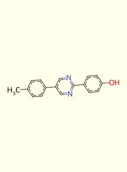 Cc1ccc(-c2cnc(-c3ccc(O)cc3)nc2)cc1